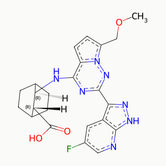 COCc1ccc2c(N[C@@H]3C4CCC(CC4)[C@H]3C(=O)O)nc(-c3n[nH]c4ncc(F)cc34)nn12